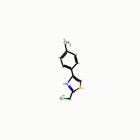 Cc1ccc(-c2csc(CBr)n2)cc1